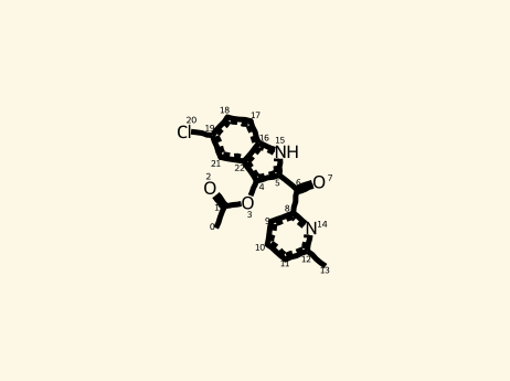 CC(=O)Oc1c(C(=O)c2cccc(C)n2)[nH]c2ccc(Cl)cc12